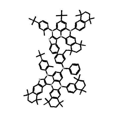 Cc1cc(C(C)(C)C)ccc1N1c2cc(C(C)(C)C)cc3c2B(c2cc4c(cc2N3c2ccc3c(c2)C(C)(C)CCC3(C)C)C(C)(C)CCC4(C)Cc2cccc(N(c3ccccc3)c3cc4c5c(c3)N(c3ccc(C(C)(C)C)cc3C)c3sc6cc7c(cc6c3B5c3cc5c(cc3N4c3ccc4c(c3)C(C)(C)CCC4(C)C)C(C)(C)CCC5(C)C)C(C)(C)CCC7(C)C)c2)c2c1sc1ccccc21